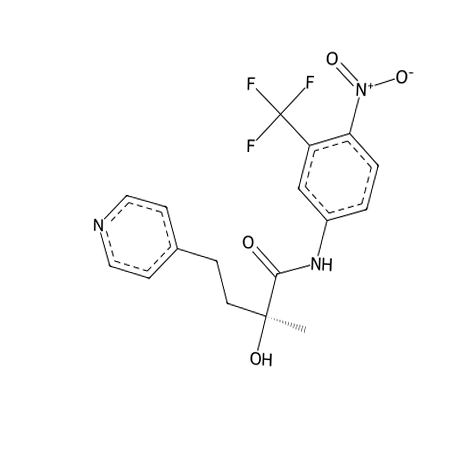 C[C@](O)(CCc1ccncc1)C(=O)Nc1ccc([N+](=O)[O-])c(C(F)(F)F)c1